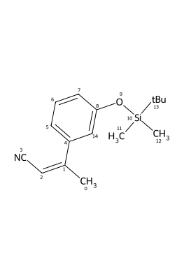 C/C(=C/C#N)c1cccc(O[Si](C)(C)C(C)(C)C)c1